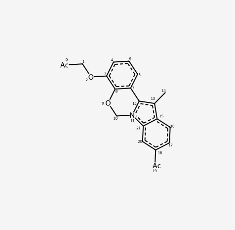 CC(=O)COc1cccc2c1OCn1c-2c(C)c2ccc(C(C)=O)cc21